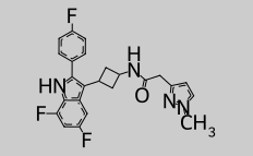 Cn1ccc(CC(=O)NC2CC(c3c(-c4ccc(F)cc4)[nH]c4c(F)cc(F)cc34)C2)n1